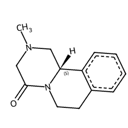 CN1CC(=O)N2CCc3ccccc3[C@H]2C1